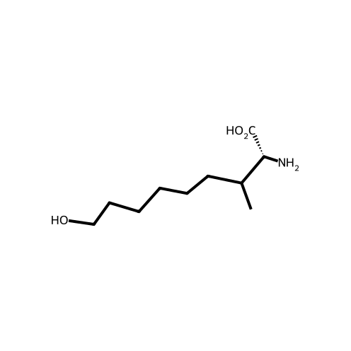 CC(CCCCCCO)[C@@H](N)C(=O)O